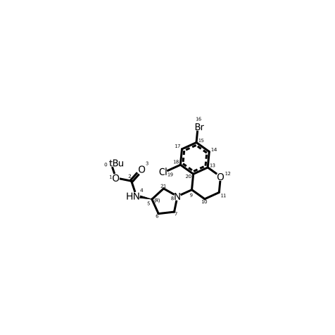 CC(C)(C)OC(=O)N[C@@H]1CCN(C2CCOc3cc(Br)cc(Cl)c32)C1